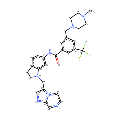 CN1CCN(Cc2cc(C(=O)Nc3ccc4c(c3)N(Cc3cnc5cnccn35)CC4)cc(C(F)(F)F)c2)CC1